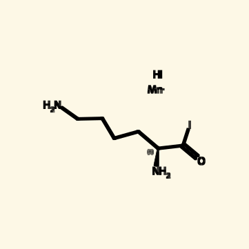 I.NCCCC[C@H](N)C(=O)I.[Mn]